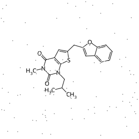 CC(C)Cn1c(=O)n(C)c(=O)c2cc(Cc3cc4ccccc4o3)sc21